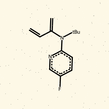 C=CC(=C)N(c1ccc(F)cn1)C(C)(C)C